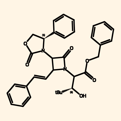 CC(C)(C)[C@@H](O)C(C(=O)OCc1ccccc1)N1C(=O)C(N2C(=O)OC[C@@H]2c2ccccc2)C1C=Cc1ccccc1